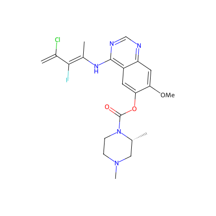 C=C(Cl)/C(F)=C(\C)Nc1ncnc2cc(OC)c(OC(=O)N3CCN(C)C[C@H]3C)cc12